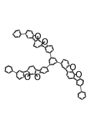 c1ccc(-c2ccc3oc4c(ccc5c6cc(-c7cc(-c8ccc9oc%10c(ccc%11c%12cc(-c%13ccccc%13)ccc%12oc%11%10)c9c8)cc(-c8ccc9oc%10c(ccc%11c%12cc(-c%13ccccc%13)ccc%12oc%11%10)c9c8)c7)ccc6oc54)c3c2)cc1